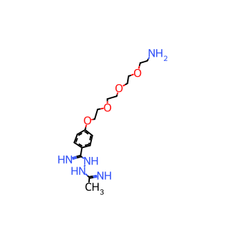 CC(=N)NNC(=N)c1ccc(OCCOCCOCCOCCN)cc1